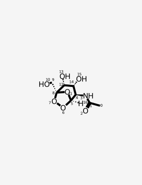 CC(=O)N[C@H]1[C@H]2OO[C@](CO)(O2)[C@H](O)[C@@H]1O